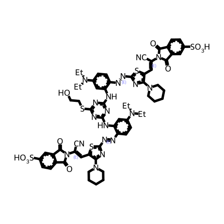 CCN(CC)c1ccc(/N=N/c2nc(N3CCCCC3)c(/C=C(\C#N)N3C(=O)c4ccc(S(=O)(=O)O)cc4C3=O)s2)c(Nc2nc(Nc3cc(N(CC)CC)ccc3/N=N/c3nc(N4CCCCC4)c(/C=C(\C#N)N4C(=O)c5ccc(S(=O)(=O)O)cc5C4=O)s3)nc(SCCO)n2)c1